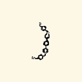 BrCc1ccc(C[n+]2ccc(-c3ccc(-c4cc[n+](Cc5ccc(CBr)cc5)cc4)cc3)cc2)cc1